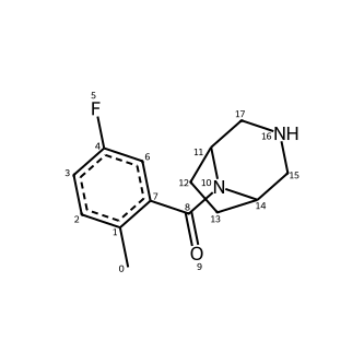 Cc1ccc(F)cc1C(=O)N1C2CCC1CNC2